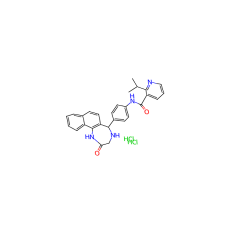 CC(C)c1ncccc1C(=O)Nc1ccc(C2NCC(=O)Nc3c2ccc2ccccc32)cc1.Cl.Cl